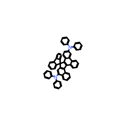 c1ccc(N(c2ccccc2)c2ccc3c4c(c5ccccc5c3c2)-c2c(cc(N(c3ccccc3)c3ccccc3)c3ccccc23)C42c3ccccc3-c3ccccc32)cc1